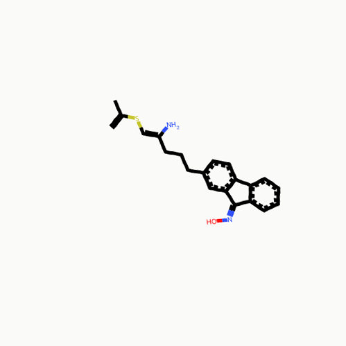 C=C(C)S/C=C(\N)CCCc1ccc2c(c1)/C(=N\O)c1ccccc1-2